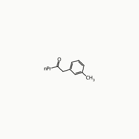 CCCC(=O)Cc1cccc(C)c1